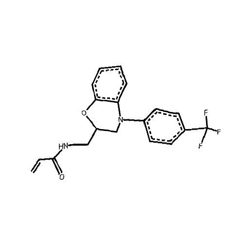 C=CC(=O)NCC1CN(c2ccc(C(F)(F)F)cc2)c2ccccc2O1